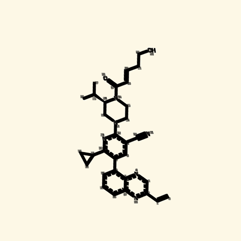 C=Cc1cnc2c(-c3cc(C#N)c(N4CCN(C(=O)C=CCCO)[C@H](C(C)C)C4)nc3C3CC3)cccc2n1